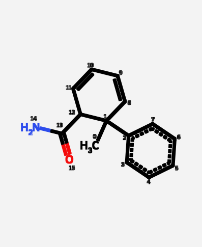 CC1(c2ccccc2)C=CC=CC1C(N)=O